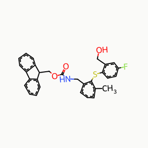 Cc1cccc(CNC(=O)OCC2c3ccccc3-c3ccccc32)c1Sc1ccc(F)cc1CO